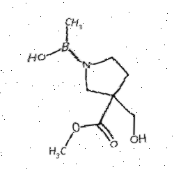 COC(=O)C1(CO)CCN(B(C)O)C1